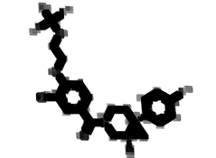 O=C(c1ccc(OCCOC(F)(F)F)c(Cl)c1)N1CC[C@@]2(c3ccc(F)cc3)C[C@H]2C1